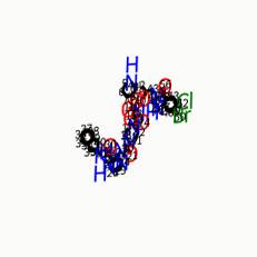 O=C(C[C@H]1NCCC[C@@H]1OC(=O)NS(=O)(=O)N1CCN(C(=O)Nc2nccnc2C(=O)NC2Cc3ccccc3C2)CC1)Cn1cnc2cc(Br)c(Cl)cc2c1=O